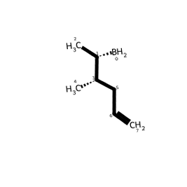 B[C@@H](C)[C@@H](C)CC=C